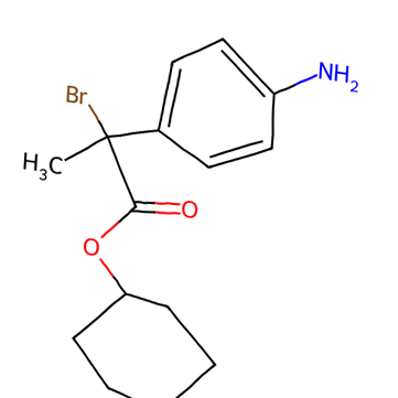 CC(Br)(C(=O)OC1CCCCC1)c1ccc(N)cc1